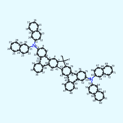 CC1(C)c2cc3c4ccc(N(c5ccc6ccccc6c5)c5ccc6ccccc6c5)cc4c4ccccc4c3cc2-c2cc3c4ccccc4c4cc(N(c5ccc6ccccc6c5)c5ccc6ccccc6c5)ccc4c3cc21